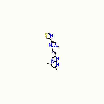 Cc1cc(C)n2cc(/C=C/c3nc(-c4cscn4)cn3C)nc2n1